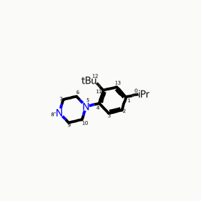 CC(C)c1ccc(N2CC[N]CC2)c(C(C)(C)C)c1